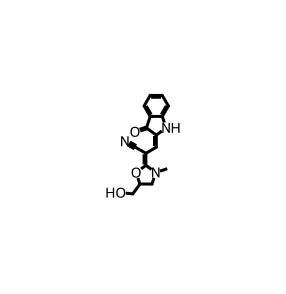 CN1CC(CO)O/C1=C(C#N)/C=C1/Nc2ccccc2C1=O